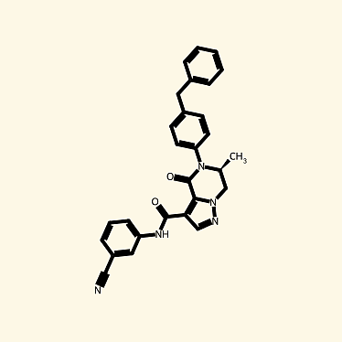 C[C@H]1Cn2ncc(C(=O)Nc3cccc(C#N)c3)c2C(=O)N1c1ccc(Cc2ccccc2)cc1